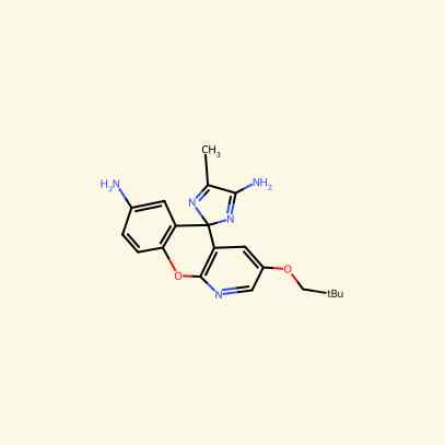 CC1=NC2(N=C1N)c1cc(N)ccc1Oc1ncc(OCC(C)(C)C)cc12